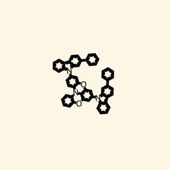 c1ccc(-c2ccc3c4ccccc4n(-c4ccc5c(c4)Oc4cc(-n6c7ccccc7c7ccc(-c8ccccc8)cc76)cc6c4N5c4ccccc4O6)c3c2)cc1